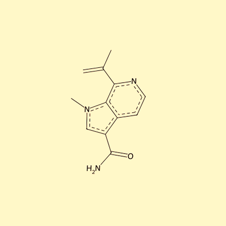 C=C(C)c1nccc2c(C(N)=O)cn(C)c12